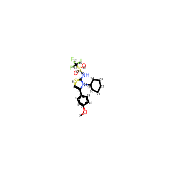 COc1ccc(C2=CSC(NS(=O)(=O)C(F)(F)F)N2C2CCCCC2)cc1